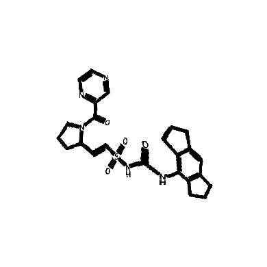 O=C(Nc1c2c(cc3c1CCC3)CCC2)NS(=O)(=O)/C=C/C1CCCN1C(=O)c1cnccn1